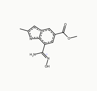 COC(=O)c1cc(/C(N)=N/O)c2nc(C)cn2c1